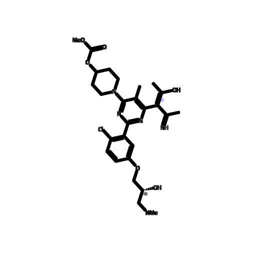 CNC[C@@H](O)COc1ccc(Cl)c(-c2nc(/C(C(C)=N)=C(\C)O)c(C)c(N3CCC(OC(=O)OC)CC3)n2)c1